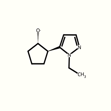 CCn1nccc1[C@H]1CCC[C@@H]1[O]